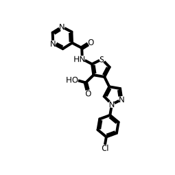 O=C(Nc1scc(-c2cnn(-c3ccc(Cl)cc3)c2)c1C(=O)O)c1cncnc1